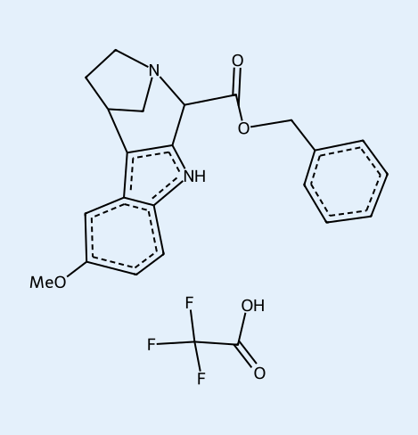 COc1ccc2[nH]c3c(c2c1)C1CCN(C1)C3C(=O)OCc1ccccc1.O=C(O)C(F)(F)F